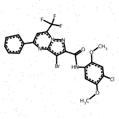 COc1cc(NC(=O)c2nn3c(C(F)(F)F)cc(-c4ccccc4)nc3c2Br)c(OC)cc1Cl